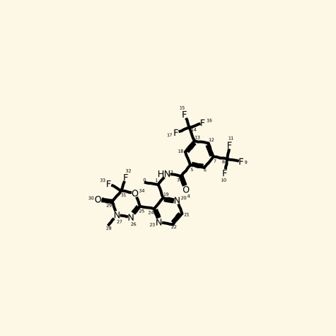 CC(NC(=O)c1cc(C(F)(F)F)cc(C(F)(F)F)c1)c1nccnc1C1=NN(C)C(=O)C(F)(F)O1